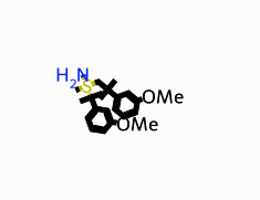 COc1cccc(C(C)(C)CS(C)(N)C(C)(C)c2cccc(OC)c2)c1